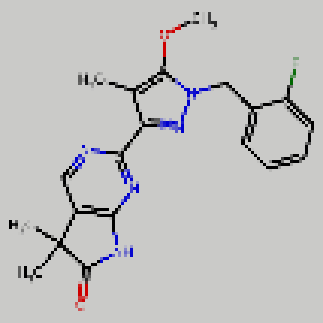 COc1c(C)c(-c2ncc3c(n2)NC(=O)C3(C)C)nn1Cc1ccccc1F